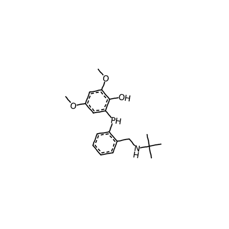 COc1cc(OC)c(O)c(Pc2ccccc2CNC(C)(C)C)c1